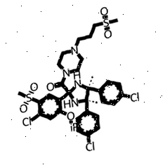 CC(C)Oc1cc(Cl)c(S(C)(=O)=O)cc1C1(C(=O)N2CCN(CCCS(C)(=O)=O)CC2)N[C@@](C)(c2ccc(Cl)cc2)[C@@](C)(c2ccc(Cl)cc2)N1